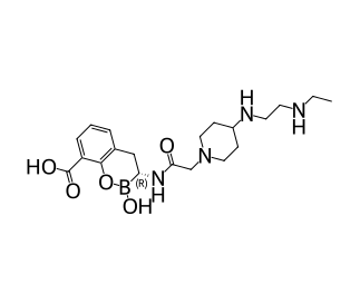 CCNCCNC1CCN(CC(=O)N[C@H]2Cc3cccc(C(=O)O)c3OB2O)CC1